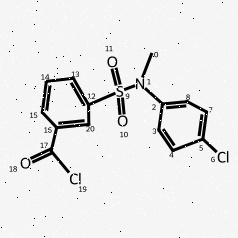 CN(c1ccc(Cl)cc1)S(=O)(=O)c1cccc(C(=O)Cl)c1